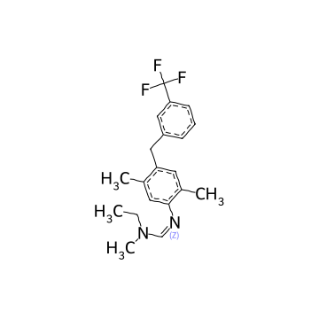 CCN(C)/C=N\c1cc(C)c(Cc2cccc(C(F)(F)F)c2)cc1C